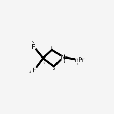 C[CH]CN1CC(F)(F)C1